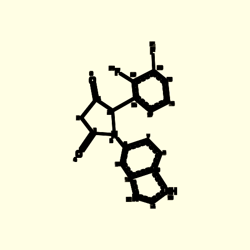 O=C1CC(=O)N(c2ccc3[nH]cnc3c2)C1c1cccc(F)c1F